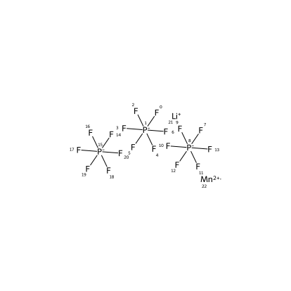 F[P-](F)(F)(F)(F)F.F[P-](F)(F)(F)(F)F.F[P-](F)(F)(F)(F)F.[Li+].[Mn+2]